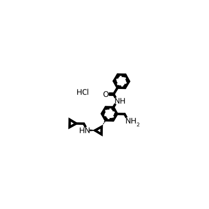 Cl.NCc1cc([C@@H]2C[C@H]2NCC2CC2)ccc1NC(=O)c1ccccc1